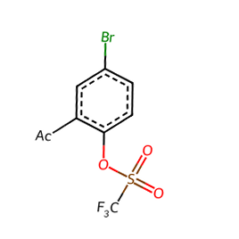 CC(=O)c1cc(Br)ccc1OS(=O)(=O)C(F)(F)F